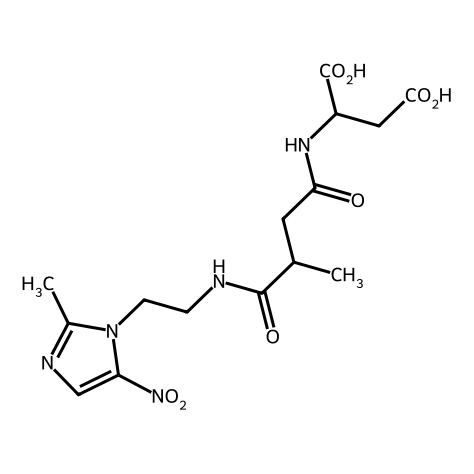 Cc1ncc([N+](=O)[O-])n1CCNC(=O)C(C)CC(=O)NC(CC(=O)O)C(=O)O